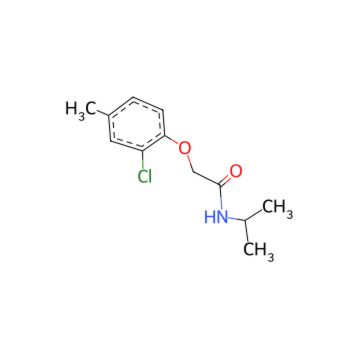 Cc1ccc(OCC(=O)NC(C)C)c(Cl)c1